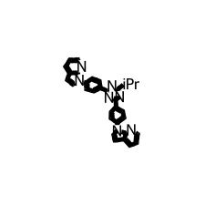 CC(C)c1nc(-c2ccc(-n3ccc4cccnc43)cc2)nc(-c2ccc(-n3ccc4cccnc43)cc2)n1